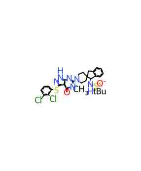 Cn1c(N2CCC3(CC2)Cc2ccccc2C3N[S+]([O-])C(C)(C)C)nc2[nH]nc(Sc3cccc(Cl)c3Cl)c2c1=O